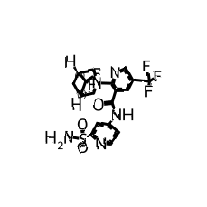 NS(=O)(=O)c1cc(NC(=O)c2cc(C(F)(F)F)cnc2N2C[C@H]3C[C@@H](C2)C3(F)F)ccn1